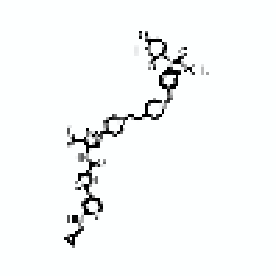 Cn1c(=O)n(C2CCC(=O)NC2=O)c2ccc(CN3CCC(CCN4CCC(n5cc(NC(=O)c6coc(-c7ccnc(NCC8CC8)c7)n6)c(C(F)F)n5)CC4)CC3)cc21